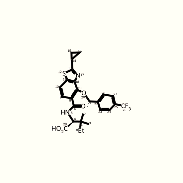 CCC(C)(C)[C@H](NC(=O)c1ccc2sc(C3CC3)nc2c1OCc1ccc(C(F)(F)F)cc1)C(=O)O